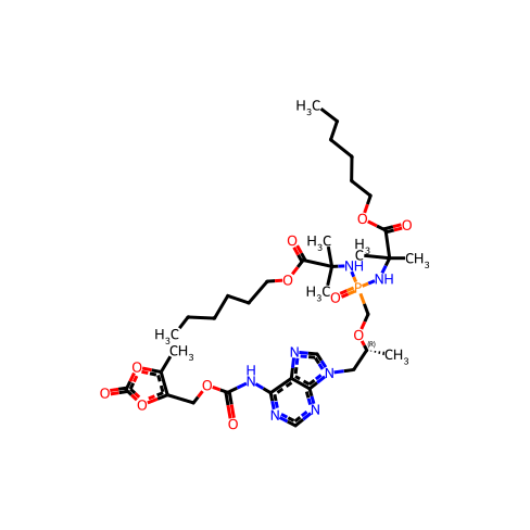 CCCCCCOC(=O)C(C)(C)NP(=O)(CO[C@H](C)Cn1cnc2c(NC(=O)OCc3oc(=O)oc3C)ncnc21)NC(C)(C)C(=O)OCCCCCC